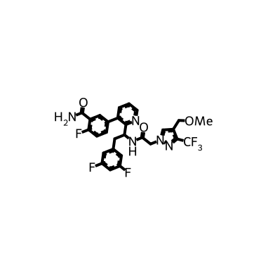 COCc1cn(CC(=O)NC(Cc2cc(F)cc(F)c2)c2ncccc2-c2ccc(F)c(C(N)=O)c2)nc1C(F)(F)F